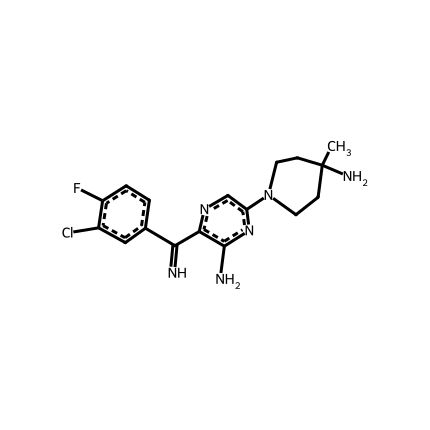 CC1(N)CCN(c2cnc(C(=N)c3ccc(F)c(Cl)c3)c(N)n2)CC1